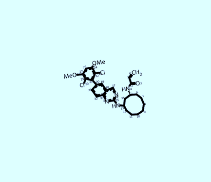 C=CC(=O)N[C@H]1CCCCCCCC(Nc2ncc3cc(-c4c(Cl)c(OC)cc(OC)c4Cl)ccc3n2)C1